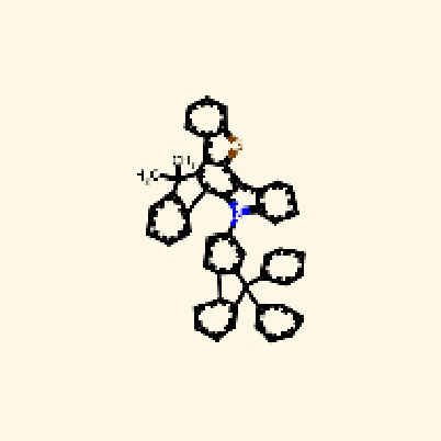 CC1(C)c2ccccc2-c2c1c1c3ccccc3sc1c1c3ccccc3n(-c3ccc4c(c3)C(c3ccccc3)(c3ccccc3)c3ccccc3-4)c21